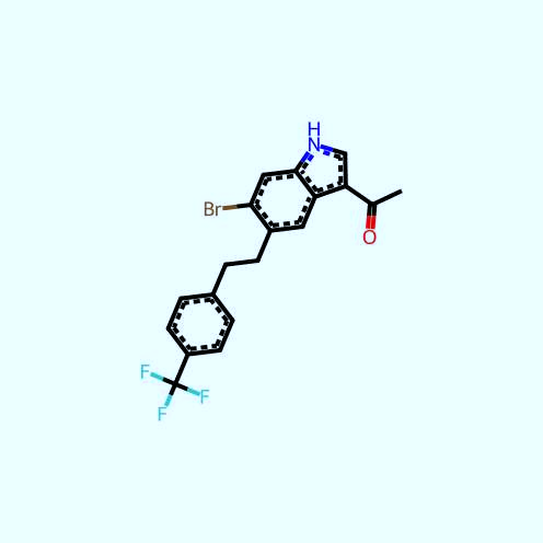 CC(=O)c1c[nH]c2cc(Br)c(CCc3ccc(C(F)(F)F)cc3)cc12